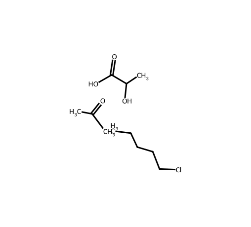 CC(C)=O.CC(O)C(=O)O.CCCCCCl